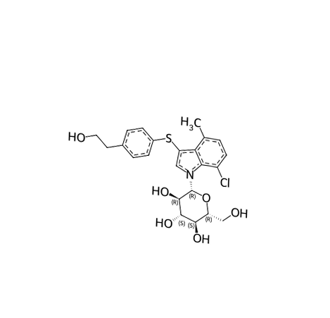 Cc1ccc(Cl)c2c1c(Sc1ccc(CCO)cc1)cn2[C@@H]1O[C@H](CO)[C@@H](O)[C@H](O)[C@H]1O